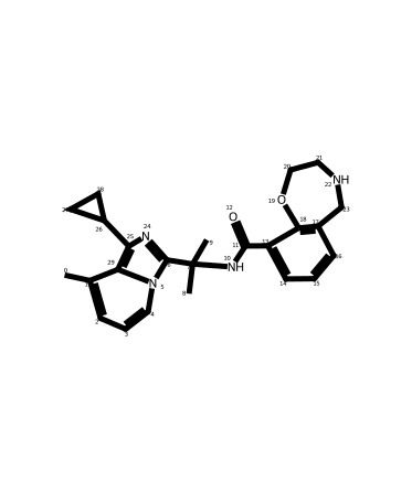 Cc1cccn2c(C(C)(C)NC(=O)c3cccc4c3OCCNC4)nc(C3CC3)c12